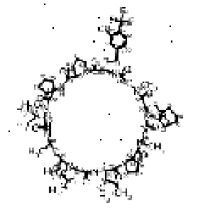 CC[C@H](C)[C@@H]1NC(=O)[C@H](CC(C)C)N(C)C(=O)C[C@@H](C)NC(=O)[C@H](C(C)C)N(C)C(=O)C2(CCCC2)NC(=O)[C@@H]2CCCN2C(=O)[C@H](CCc2ccc(C(F)(F)F)c(Cl)c2)NC(=O)CN(C)C(=O)[C@H](CC2CCCCC2)N(C)C(=O)CN(C)C(=O)[C@@H]2CCCN2C1=O